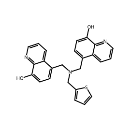 Oc1ccc(CN(Cc2cccs2)Cc2ccc(O)c3ncccc23)c2cccnc12